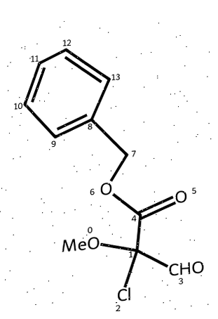 COC(Cl)(C=O)C(=O)OCc1ccccc1